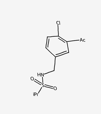 CC(=O)c1cc(CNS(=O)(=O)C(C)C)ccc1Cl